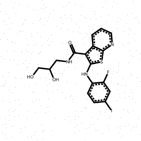 O=C(NCC(O)CO)c1c(Nc2ccc(I)cc2F)sc2ncccc12